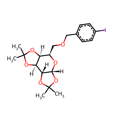 CC1(C)O[C@H]2[C@@H](O1)[C@@H](COCc1ccc(I)cc1)O[C@@H]1OC(C)(C)O[C@@H]12